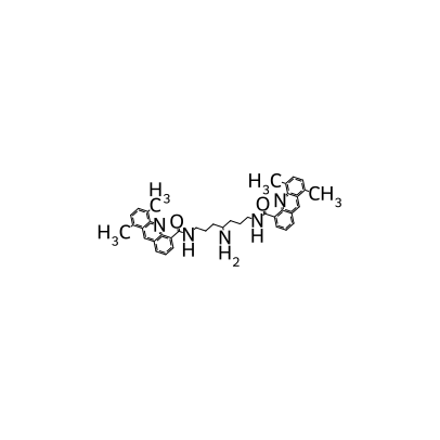 Cc1ccc(C)c2nc3c(C(=O)NCCCC(N)CCCNC(=O)c4cccc5cc6c(C)ccc(C)c6nc45)cccc3cc12